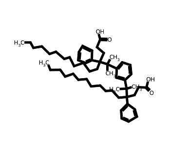 CCCCCCCCCCCCC(CCC(=O)O)(c1ccccc1)C(C)(C)c1cccc(C(C)(C)C(CCCCCCCCCCCC)(CCC(=O)O)c2ccccc2)c1